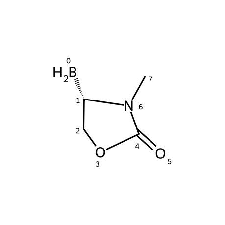 B[C@H]1COC(=O)N1C